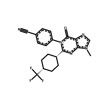 Cn1cnc2c(=O)n(-c3ccc(C#N)cc3)c([C@H]3CC[C@@H](C(F)(F)F)CC3)nc21